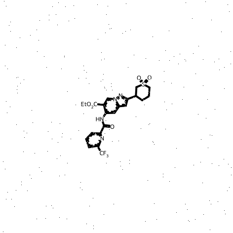 CCOC(=O)c1cn2nc(C3CCCS(=O)(=O)C3)cc2cc1NC(=O)c1cccc(C(F)(F)F)n1